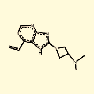 C=Cc1ncnc2nc(N3CC(N(C)C)C3)[nH]c12